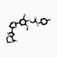 COc1cc(-c2nccc(-c3cc4n(n3)CCNC4=O)n2)cc(Br)c1OCC(=O)Nc1ccc(C)cc1